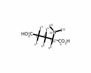 O=C(O)C(I)(I)C(I)(I)[C@@](I)(C(=O)O)N(I)I